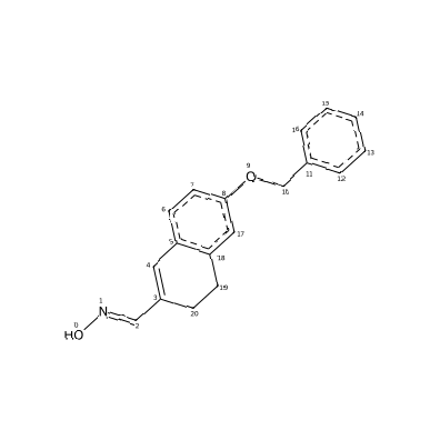 ON=CC1=Cc2ccc(OCc3ccccc3)cc2CC1